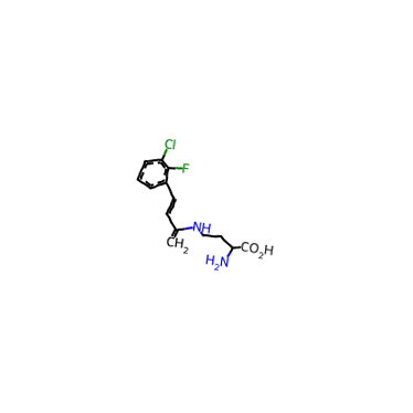 C=C(/C=C/c1cccc(Cl)c1F)NCCC(N)C(=O)O